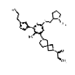 C=CC(=O)N1CC2(CCN(c3nc(OCC4CCCN4C)nc(-c4cnn(CCO)c4)c3C#N)C2)C1